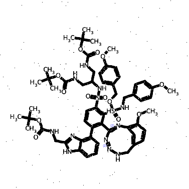 COc1ccc(CN[SH](=O)(OCc2ccc(OC)cc2)c2c(S(=O)(=O)NC(CNC(=O)OC(C)(C)C)CNC(=O)OC(C)(C)C)ccc(-c3cccc4[nH]c(CNC(=O)OC(C)(C)C)nc34)c2C2=N/c3cc(ccc3OC)CN/N=N\2)cc1